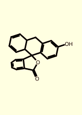 O=C1OC2(c3ccc(O)cc3CC3C=CC=CC32)c2ccccc21